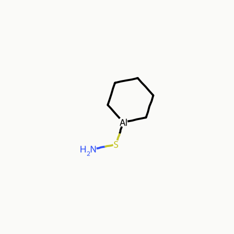 N[S][Al]1[CH2]CCC[CH2]1